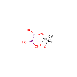 O=[N+]([O-])[O-].O=[N+]([O-])[O-].OP(O)P(O)O.[Ca+2]